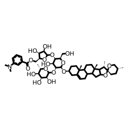 C[C@@H]1CC[C@@]2(OC1)OC1CC3C4CC=C5C[C@@H](O[C@@H]6O[C@H](CO)[C@@H](OC7O[C@@H](COC(=O)c8cccc(N(C)C)c8)[C@H](O)[C@H]7O)[C@H](O)[C@H]6OC6O[C@@H](C)[C@H](O)[C@@H](O)[C@H]6O)CC[C@]5(C)C4CC[C@]3(C)C1[C@@H]2C